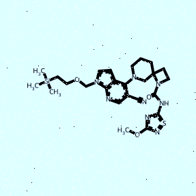 COc1nsc(NC(=O)N2CCC23CCCN(c2c(C#N)cnc4c2ccn4COCC[Si](C)(C)C)C3)n1